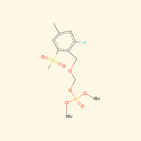 Cc1cc(F)c(COCOP(=O)(OC(C)(C)C)OC(C)(C)C)c(S(C)(=O)=O)c1